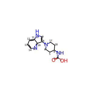 O=C(O)NC1CCN(c2c[nH]c3cccnc23)CC1